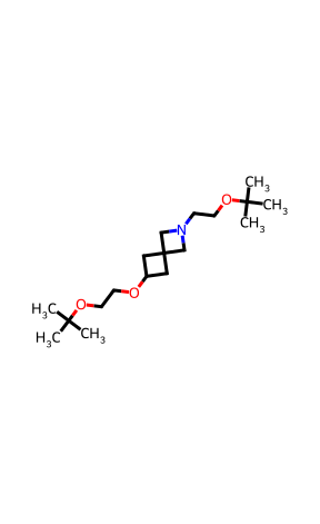 CC(C)(C)OCCOC1CC2(C1)CN(CCOC(C)(C)C)C2